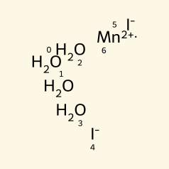 O.O.O.O.[I-].[I-].[Mn+2]